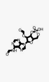 O=CNc1ncnc2c1ncn2C1OC2COP(=O)(O)OC2C1OC=O